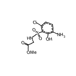 COC(=O)CNS(=O)(=O)c1c(Cl)ccc(N)c1O